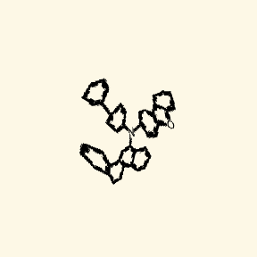 c1ccc(-c2ccc(N(c3ccc4oc5ccccc5c4c3)c3cc4c5ccccc5ccc4c4ccccc34)cc2)cc1